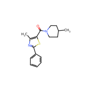 Cc1nc(-c2ccccc2)sc1C(=O)N1CCC(C)CC1